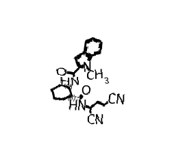 Cn1c(C(=O)N[C@H]2CCCC[C@H]2C(=O)NC(C#N)CCC#N)cc2ccccc21